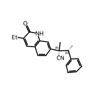 CCc1cc2ccc([C@](C)(C#N)[C@H](C)c3ccccc3)cc2[nH]c1=O